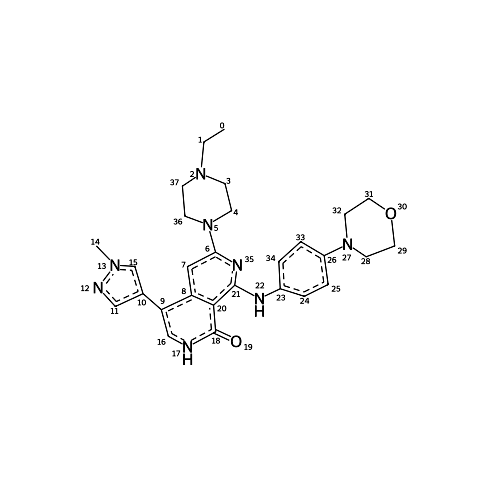 CCN1CCN(c2cc3c(-c4cnn(C)c4)c[nH]c(=O)c3c(Nc3ccc(N4CCOCC4)cc3)n2)CC1